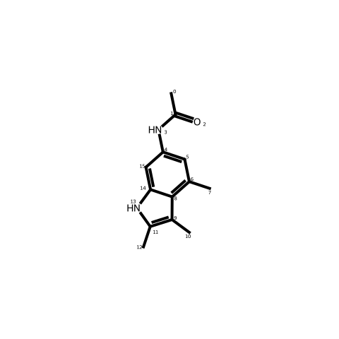 CC(=O)Nc1cc(C)c2c(C)c(C)[nH]c2c1